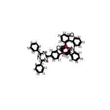 c1ccc(-c2nc(-c3ccccc3)nc(-c3ccc4c(c3)oc3c(-c5cccc6oc7cccc(-n8c9ccccc9c9ccccc98)c7c56)cccc34)n2)cc1